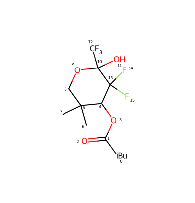 CCC(C)C(=O)OC1C(C)(C)COC(O)(C(F)(F)F)C1(F)F